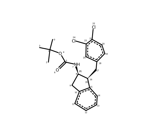 CC(C)(C)OC(=O)N[C@@H]1Cc2ccccc2[C@@H]1Cc1ccc(Cl)c(Cl)c1